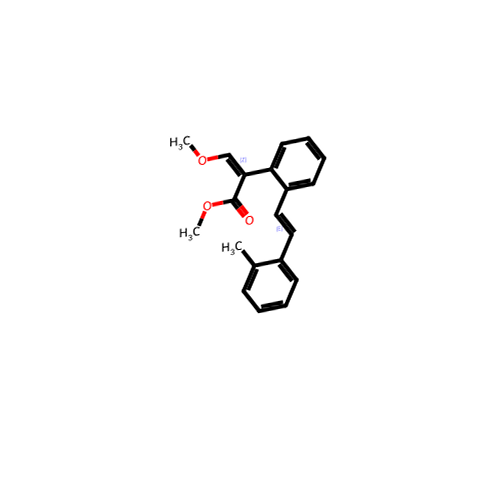 CO/C=C(\C(=O)OC)c1ccccc1/C=C/c1ccccc1C